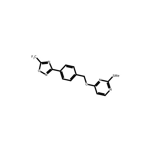 CSc1nccc(OCc2ccc(-c3noc(C(F)(F)F)n3)cc2)n1